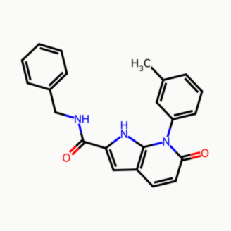 Cc1cccc(-n2c(=O)ccc3cc(C(=O)NCc4ccccc4)[nH]c32)c1